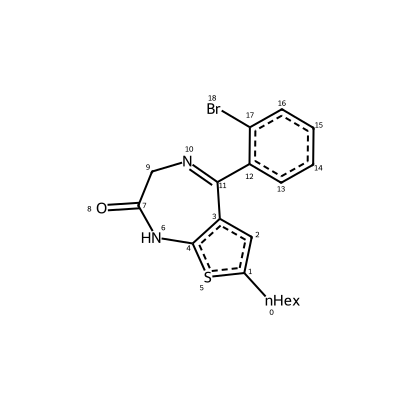 CCCCCCc1cc2c(s1)NC(=O)CN=C2c1ccccc1Br